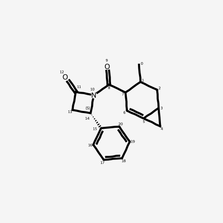 CC1CC2CC2=CC1C(=O)N1C(=O)C[C@H]1c1ccccc1